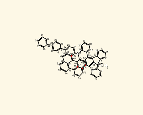 CC1(c2ccccc2)c2ccccc2-c2c(-c3ccccc3N(C3=CC=C(c4ccc(-c5ccccc5)cc4)CC3)c3ccccc3-c3cccc4cccc(-c5ccccc5)c34)cccc21